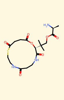 C[C@H](N)C(=O)OCC(C)(C)[C@H]1OC(=O)CCC(=O)SCCNC(=O)CCNC1=O